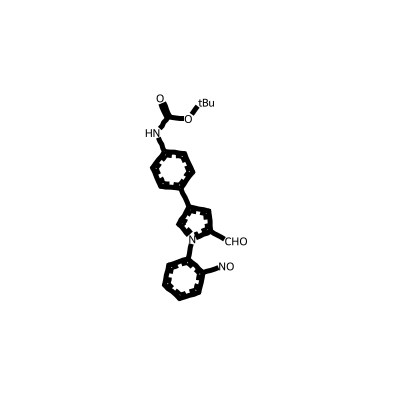 CC(C)(C)OC(=O)Nc1ccc(-c2cc(C=O)n(-c3ccccc3N=O)c2)cc1